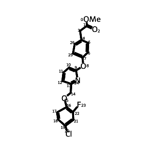 COC(=O)Cc1ccc(Oc2cccc(COc3ccc(Cl)cc3F)n2)cc1